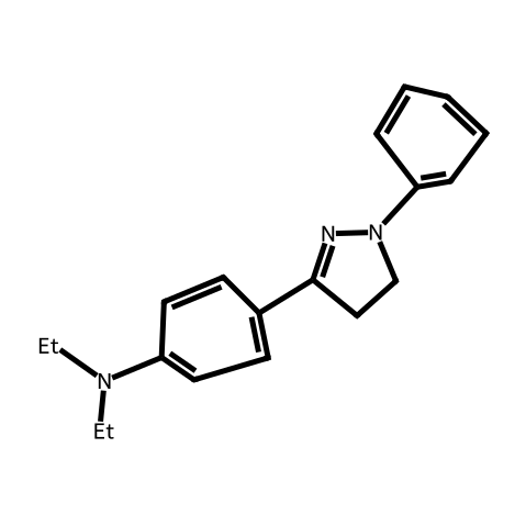 CCN(CC)c1ccc(C2=NN(c3ccccc3)CC2)cc1